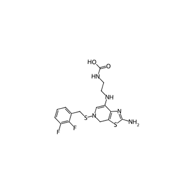 Nc1nc2c(s1)CN(SCc1cccc(F)c1F)C=C2NCCNC(=O)O